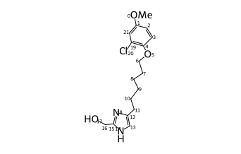 COc1ccc(OCCCCCCc2c[nH]c(CO)n2)c(Cl)c1